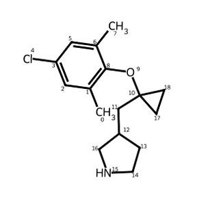 Cc1cc(Cl)cc(C)c1OC1(CC2CCNC2)CC1